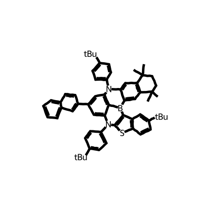 CC(C)(C)c1ccc(N2c3cc4c(cc3B3c5c2cc(-c2ccc6ccccc6c2)cc5N(c2ccc(C(C)(C)C)cc2)c2sc5ccc(C(C)(C)C)cc5c23)C(C)(C)CCC4(C)C)cc1